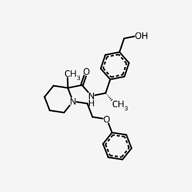 C[C@H](NC(=O)C1(C)CCCCN1CCOc1ccccc1)c1ccc(CO)cc1